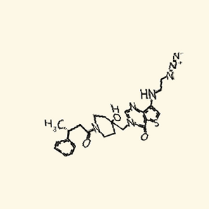 C[C@H](CC(=O)N1CCC(O)(Cn2cnc3c(NCCN=[N+]=[N-])csc3c2=O)CC1)c1ccccc1